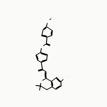 CCOc1ccc(C(=O)Nc2ccc(C(=O)/C=C3\NC(C)(C)Cc4ccc(OC)cc43)cc2)cc1